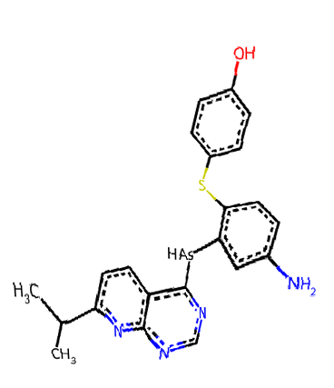 CC(C)c1ccc2c([AsH]c3cc(N)ccc3Sc3ccc(O)cc3)ncnc2n1